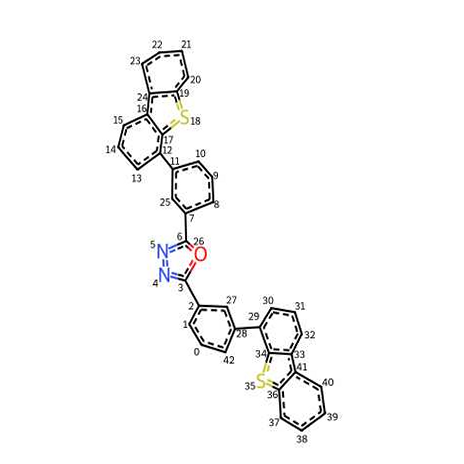 c1cc(-c2nnc(-c3cccc(-c4cccc5c4sc4ccccc45)c3)o2)cc(-c2cccc3c2sc2ccccc23)c1